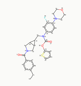 CCc1ccc(C(=O)N2CC3C(C2)C3CN(C(=O)Oc2cccs2)c2ccc(N3CCOCC3)c(F)c2)cc1